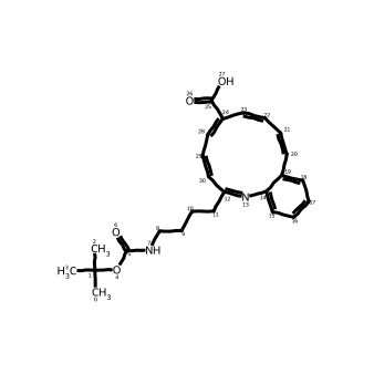 CC(C)(C)OC(=O)NCCCCC1=Nc2ccccc2C=CC=CC(C(=O)O)=CC=C1